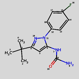 CC(C)(C)c1cc(NC(N)=O)n(-c2ccc(F)cc2)n1